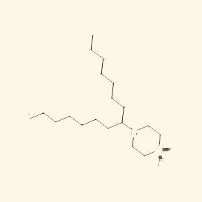 CCCCCCCC(CCCCCCC)N1CCS(=O)(=O)CC1